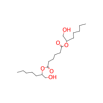 CCCCCC(CO)OC(=O)CCCCC(=O)OC(CO)CCCCC